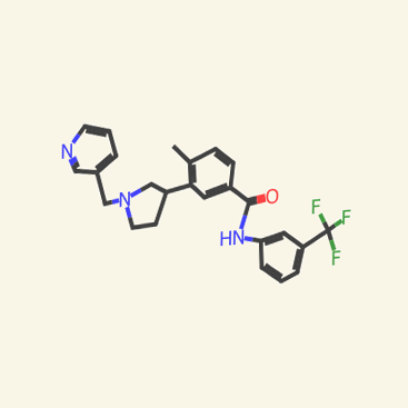 Cc1ccc(C(=O)Nc2cccc(C(F)(F)F)c2)cc1C1CCN(Cc2cccnc2)C1